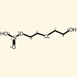 O=[Si](O)OCCOCCO